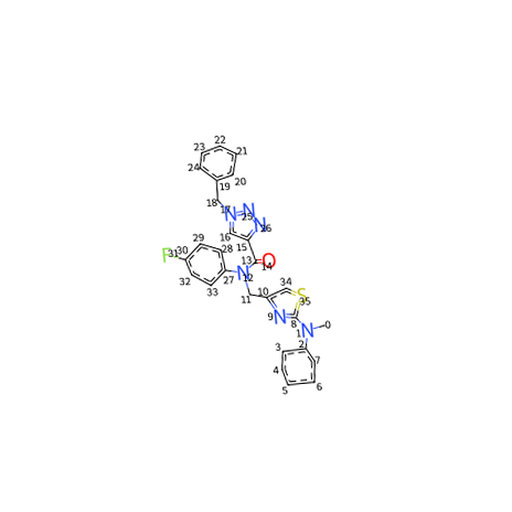 CN(c1ccccc1)c1nc(CN(C(=O)c2cn(Cc3ccccc3)nn2)c2ccc(F)cc2)cs1